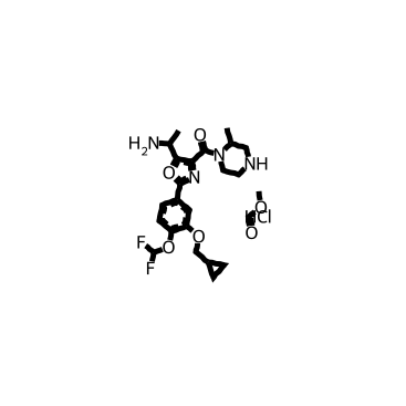 CC(N)c1oc(-c2ccc(OC(F)F)c(OCC3CC3)c2)nc1C(=O)N1CCNCC1C.COC=O.Cl